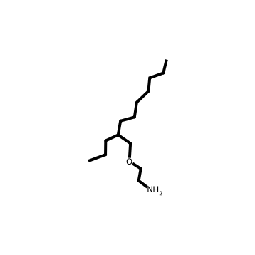 CCCCCCCC(CCC)COCCN